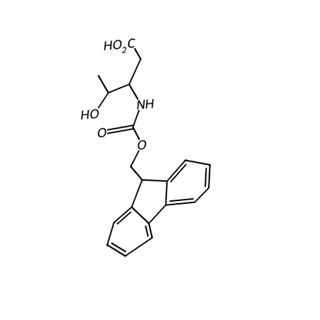 CC(O)C(CC(=O)O)NC(=O)OCC1c2ccccc2-c2ccccc21